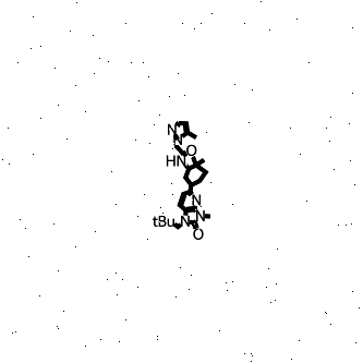 Cc1ccnn1CC(=O)NC1CC(c2ccc3c(n2)n(C)c(=O)n3CC(C)(C)C)CCC1(C)C